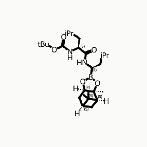 CC(C)C[C@H](NC(=O)[C@H](CC(C)C)NC(=O)OC(C)(C)C)B1O[C@@H]2C[C@@H]3C[C@@H](C3(C)C)[C@]2(C)O1